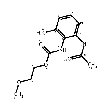 COCCOC(=O)Nc1c(C)cccc1NC(C)=O